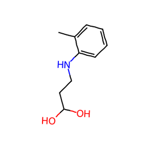 Cc1ccccc1NCCC(O)O